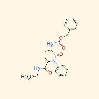 CC(NC(=O)OCc1ccccc1)C(=O)N(c1ccccc1)C(C)C(=O)NCC(=O)O